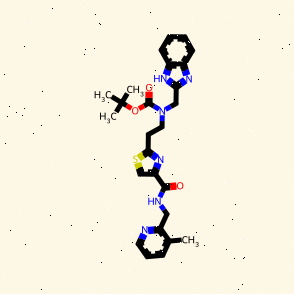 Cc1cccnc1CNC(=O)c1csc(CCN(Cc2nc3ccccc3[nH]2)C(=O)OC(C)(C)C)n1